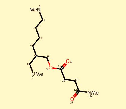 CNCCCCC(COC)COC(=O)CCC(=O)NC